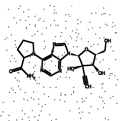 C#C[C@@]1(O)[C@H](O)[C@@H](CO)O[C@H]1n1cnc2c(N3CCCC3C(N)=O)ncnc21